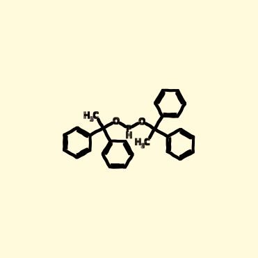 CC(OPOC(C)(c1ccccc1)c1ccccc1)(c1ccccc1)c1ccccc1